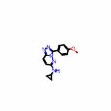 COc1ccc(-c2nnc3ccc(NC4CC4)nn23)cc1